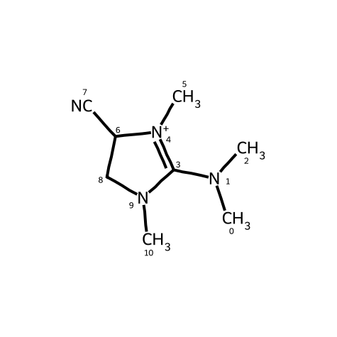 CN(C)C1=[N+](C)C(C#N)CN1C